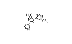 Cc1nc(-c2cccnc2)sc1-c1cc(C(F)(F)F)ncn1